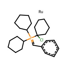 ClC1(P(=Cc2ccccc2)(C2CCCCC2)C2CCCCC2)CCCCC1.[Ru]